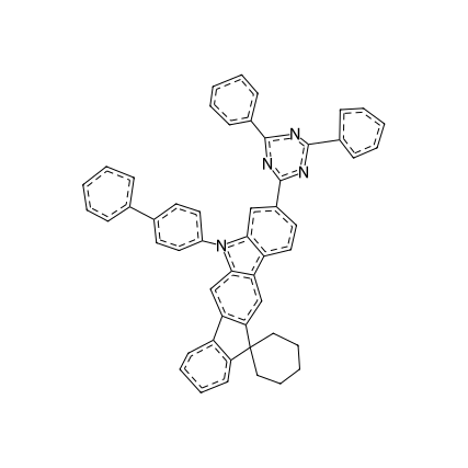 c1ccc(-c2ccc(-n3c4cc(-c5nc(-c6ccccc6)nc(-c6ccccc6)n5)ccc4c4cc5c(cc43)-c3ccccc3C53CCCCC3)cc2)cc1